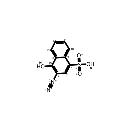 N#[N+]c1cc(S(=O)(=O)O)c2ccccc2c1O